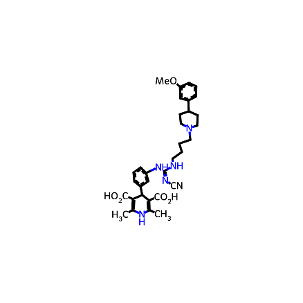 COc1cccc(C2CCN(CCCCN/C(=N\C#N)Nc3cccc(C4C(C(=O)O)=C(C)NC(C)=C4C(=O)O)c3)CC2)c1